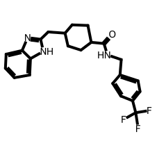 O=C(NCc1ccc(C(F)(F)F)cc1)C1CCC(Cc2nc3ccccc3[nH]2)CC1